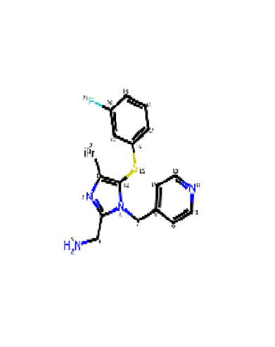 CC(C)c1nc(CN)n(Cc2ccncc2)c1Sc1cccc(F)c1